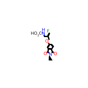 O=C(O)NC/C(=C\F)COc1ccc2c(c1)C(=O)N(C1CC1)C2=O